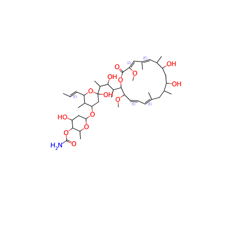 C/C=C/C1OC(O)(C(C)C(O)C(C)C2OC(=O)/C(OC)=C/C(C)=C/C(C)C(O)CC(O)C(C)C/C(C)=C/C=C/C2OC)CC(OC2CC(O)C(OC(N)=O)C(C)O2)C1C